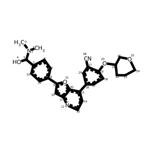 CN(C)C(O)c1ccc(-c2cc3nccc(-c4ccc(OC5CCCOC5)c(C#N)c4)c3o2)cc1